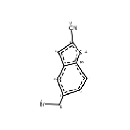 N#Cc1cc2cc(CBr)ccc2s1